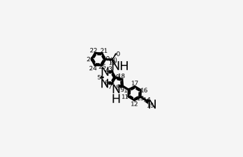 C[C@@H](Nc1ncnc2[nH]c(-c3ccc(C#N)cc3)cc12)c1ccccc1